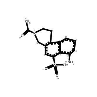 O=C(N1CCc2c(cc(S(=O)(=O)Cl)c3c([N+](=O)[O-])cccc23)C1)C(F)(F)F